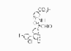 O=C[C@H](C(=O)Nc1cc(C(=O)O)ccn1)c1ccc2c(-c3ccc(F)cc3Cl)cc(=O)oc2c1